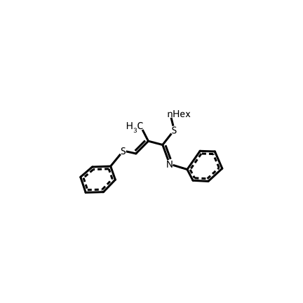 CCCCCCSC(=Nc1ccccc1)C(C)=CSc1ccccc1